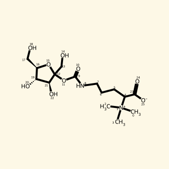 C[N+](C)(C)C(CCCNC(=O)OC1(CO)O[C@H](CO)[C@@H](O)[C@@H]1O)C(=O)[O-]